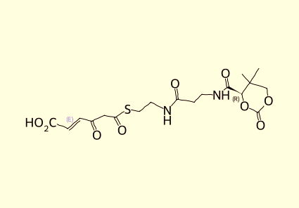 CC1(C)COC(=O)O[C@H]1C(=O)NCCC(=O)NCCSC(=O)CC(=O)/C=C/C(=O)O